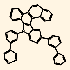 c1ccc(-c2cccc(-c3ccc4c(c3)c3c5c6ccccc6ccc5c5ccccc5c3n4-c3cccc(-c4ccccc4)c3)c2)cc1